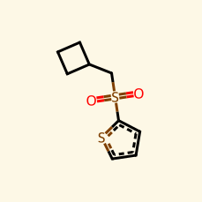 O=S(=O)(CC1CCC1)c1cccs1